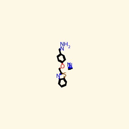 C#N.C#N.NN=Cc1ccc(OCc2nc3ccccc3s2)cc1